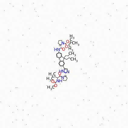 CCCC1(CCC)c2cc(NC(=O)[C@@H]3CCCN3C(=O)OC(C)(C)C)ccc2-c2ccc(-c3cnc([C@@H]4CCCN4C(=O)C(NC(=O)OC)C(C)C)[nH]3)cc21